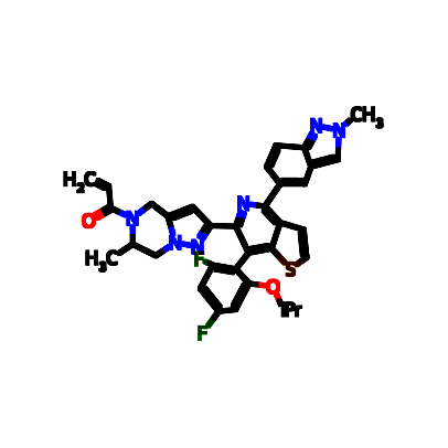 C=CC(=O)N1Cc2cc(-c3nc(-c4ccc5nn(C)cc5c4)c4ccsc4c3-c3c(F)cc(F)cc3OC(C)C)nn2CC1C